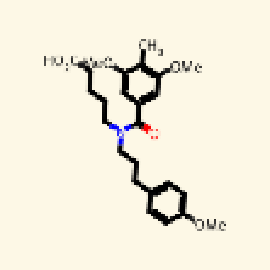 COc1ccc(CCCN(CCCCC(=O)O)C(=O)c2cc(OC)c(C)c(OC)c2)cc1